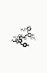 C[C@@H]1CN(CC(=O)N2CC(C)(C)c3c2cc(Cc2ccc(F)cc2)c2nc(CF)nn32)[C@@H](CN2CCOC[C@H]2C)CN1